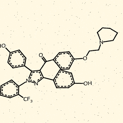 O=C(c1ccc(OCCN2CCCCC2)cc1)c1c(-c2ccc(O)cc2)nn(-c2ccccc2C(F)(F)F)c1-c1ccc(O)cc1